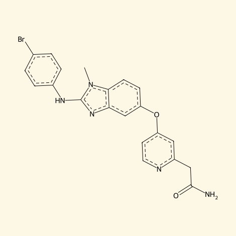 Cn1c(Nc2ccc(Br)cc2)nc2cc(Oc3ccnc(CC(N)=O)c3)ccc21